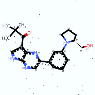 CC(C)(C)C(=O)c1c[nH]c2ncc(-c3cccc(N4CCC[C@@H]4CO)c3)nc12